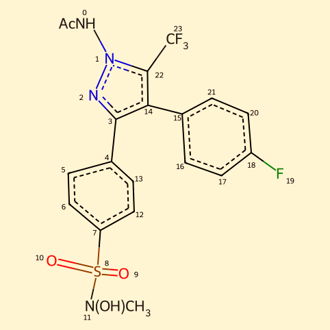 CC(=O)Nn1nc(-c2ccc(S(=O)(=O)N(C)O)cc2)c(-c2ccc(F)cc2)c1C(F)(F)F